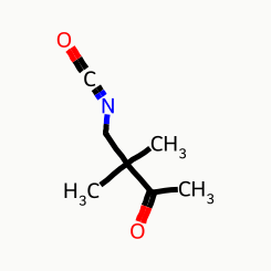 CC(=O)C(C)(C)CN=C=O